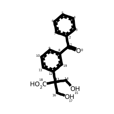 O=C(c1ccccc1)c1cccc(C(CO)(CO)C(=O)O)c1